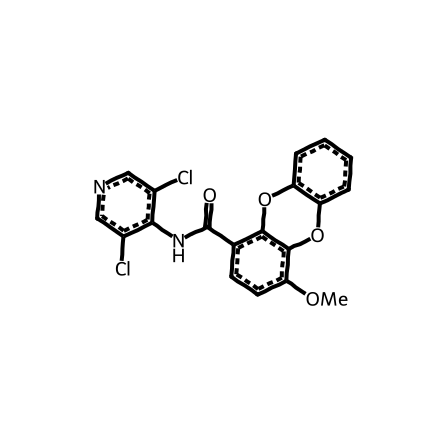 COc1ccc(C(=O)Nc2c(Cl)cncc2Cl)c2c1Oc1ccccc1O2